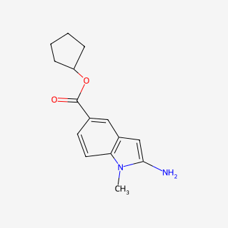 Cn1c(N)cc2cc(C(=O)OC3CCCC3)ccc21